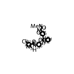 CNC(=O)c1noc2cc(-n3c(=O)n(C[C@H]4CC[C@H](NC(=O)c5cc(Cl)cnc5C)CC4)c4ccccc43)ccc12